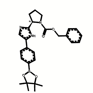 CC1(C)OB(c2ccc(-c3cnc([C@H]4CCCN4C(=O)OCc4ccccc4)[nH]3)cc2)OC1(C)C